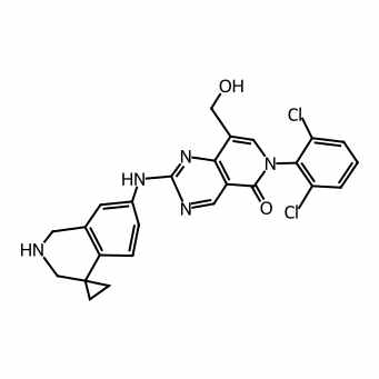 O=c1c2cnc(Nc3ccc4c(c3)CNCC43CC3)nc2c(CO)cn1-c1c(Cl)cccc1Cl